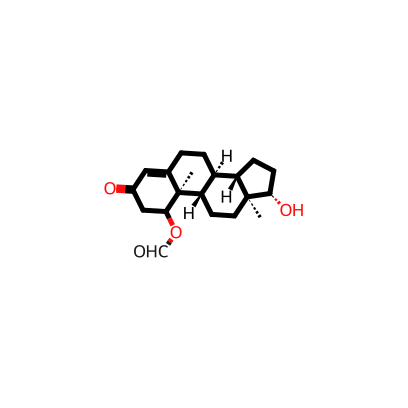 C[C@]12CC[C@H]3[C@@H](CCC4=CC(=O)CC(OC=O)[C@@]43C)[C@@H]1CC[C@@H]2O